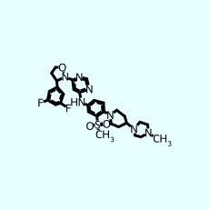 CN1CCN(C2CCN(c3ccc(Nc4cc(N5OCCC5c5cc(F)cc(F)c5)ncn4)cc3S(C)(=O)=O)CC2)CC1